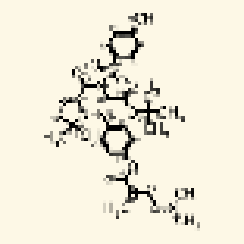 Cc1ccc(S(=O)(=O)N(C(=O)[C@H]2NC(C)(C)CS2)[C@@H](Cc2ccc(OC(=O)N(C)CCN(C)C)cc2)C(=O)OC(C)(C)C)cc1